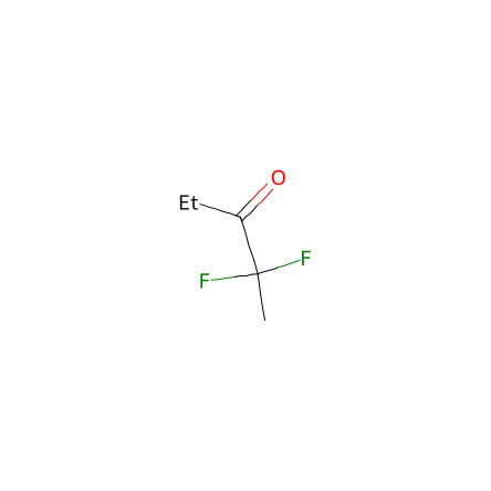 CCC(=O)C(C)(F)F